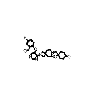 O=Cc1cc(F)ccc1Oc1cncnc1N1CC2(CCN(CC3(O)CCC(=O)CC3)CC2)C1